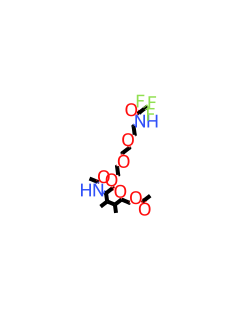 CC(=O)NC1C(OCCOCCOCCNC(=O)C(F)(F)F)OC(COC(C)=O)C(C)C1C